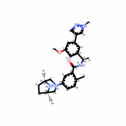 COc1cc(-c2cnn(C)c2)cc([C@@H](C)NC(=O)c2cc(N3C[C@H]4CC[C@@H](C3)N4)ccc2C)c1